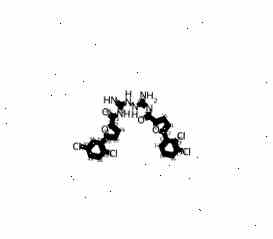 N=C(NNC(N)=NC(=O)c1ccc(-c2cccc(Cl)c2Cl)o1)NC(=O)c1ccc(-c2cc(Cl)ccc2Cl)o1